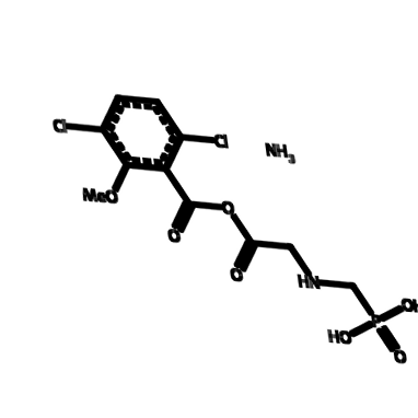 COc1c(Cl)ccc(Cl)c1C(=O)OC(=O)CNCP(=O)(O)O.N